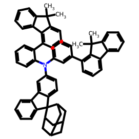 CC1(C)c2ccccc2-c2c(-c3ccccc3N(c3cccc(-c4cccc5c4C(C)(C)c4ccccc4-5)c3)c3ccc4c(c3)-c3ccccc3C43C4CC5CC(C4)CC3C5)cccc21